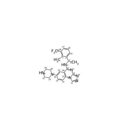 Cc1c(C(C)Nc2nc3nncn3c3ccc(N4CCNCC4)cc23)cccc1C(F)(F)F